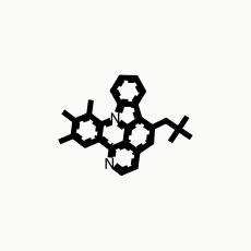 Cc1cc2c3nccc4cc(CC(C)(C)C)c5c6ccccc6n(c2c(C)c1C)c5c43